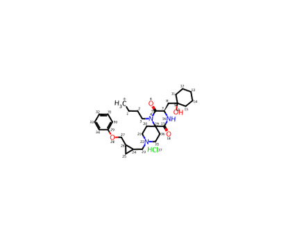 CCCCN1C(=O)[C@@H](CC2(O)CCCCC2)NC(=O)C12CCN(CC1CC1COc1ccccc1)CC2.Cl